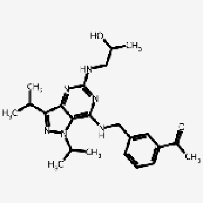 CC(=O)c1cccc(CNc2nc(NCC(C)O)nc3c(C(C)C)nn(C(C)C)c23)c1